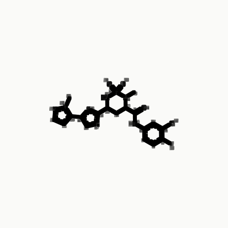 CN1C(C(=O)Nc2ccc(F)c(Cl)c2)CC(c2ncc(-c3ccnn3C)s2)NS1(=O)=O